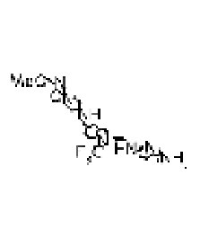 COCCN(C)CC(=O)N1CCC(NCc2ccc3c(c2)cc(C#CCNc2ccc(C(C)(C)N)nc2)n3CC(F)(F)F)CC1